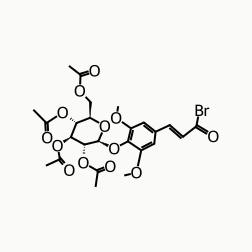 COc1cc(C=CC(=O)Br)cc(OC)c1O[C@@H]1O[C@H](COC(C)=O)[C@@H](OC(C)=O)[C@H](OC(C)=O)[C@H]1OC(C)=O